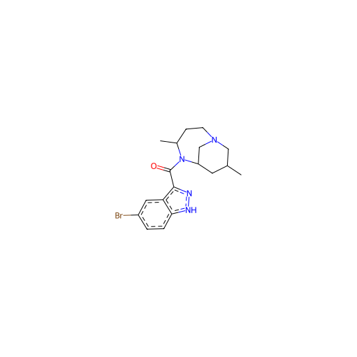 CC1CC2CN(CCC(C)N2C(=O)c2n[nH]c3ccc(Br)cc23)C1